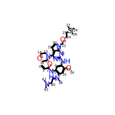 C=CC(=O)Nc1cc(Nc2nc(N3CCOCC3)c3ccn(COCC[Si](C)(C)C)c3n2)c(OC)cc1N(C)CCN(C)C